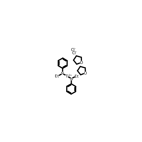 C1CCOC1.C1CCOC1.CC[N]([Ti+2][N](CC)c1ccccc1)c1ccccc1.[Cl-].[Cl-]